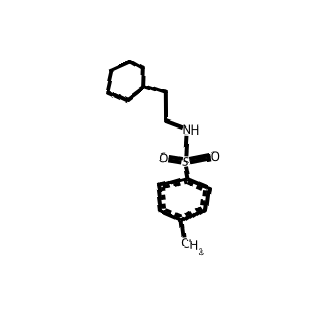 Cc1ccc(S(=O)(=O)NCCC2CCCCC2)cc1